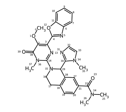 COc1c(-c2nc3ccccc3o2)nc(N2CCc3ccc(C(=O)N(C)C)cc3C2c2nccn2C)n(C)c1=O